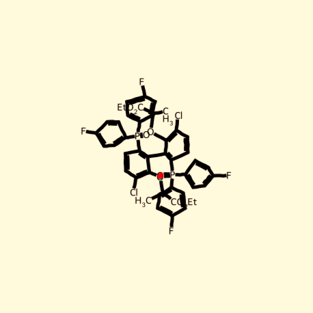 CCOC(=O)C(C)Oc1c(Cl)ccc(P(=O)(c2ccc(F)cc2)c2ccc(F)cc2)c1-c1c(P(=O)(c2ccc(F)cc2)c2ccc(F)cc2)ccc(Cl)c1OC(C)C(=O)OCC